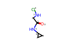 O=C(CNCl)NC1CC1